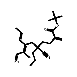 C=C(CCC(C#N)(CCC)CC(/C=C/C)=C(\Br)C=N)C(=O)OC(C)(C)C